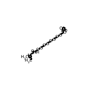 C=Cc1cc(C)nc(CCC(=O)NCCOCCOCCOCCOCCOCCOCCOCCOCCC(=O)ON2C(=O)CCC2=O)c1